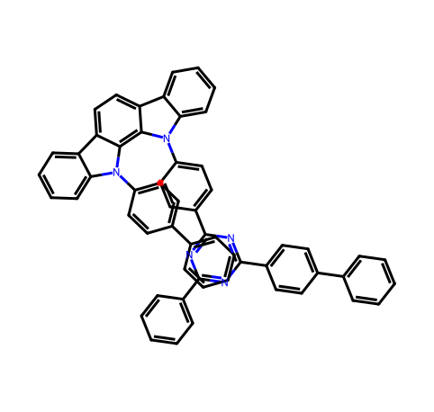 c1ccc(-c2ccc(-c3nc(-c4ccccc4)nc(-c4ccc(-n5c6ccccc6c6ccc7c8ccccc8n(-c8ccc(-c9ccccc9)cc8)c7c65)cc4)n3)cc2)cc1